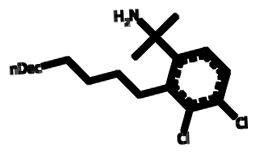 CCCCCCCCCCCCCCc1c(C(C)(C)N)ccc(Cl)c1Cl